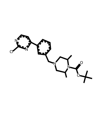 CC1CN(Cc2cccc(-c3ccnc(Cl)n3)c2)CC(C)N1C(=O)OC(C)(C)C